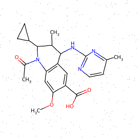 COc1cc2c(cc1C(=O)O)C(Nc1nccc(C)n1)C(C)C(C1CC1)N2C(C)=O